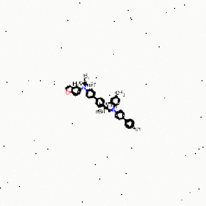 CCCCC(C)(CN(c1ccc(-c2ccc(C(C)C)cc2)cc1)c1ccc(C)cc1C)c1ccc(-c2ccc(N(c3ccc4occc4c3)C(C)(C)CCC)cc2)cc1